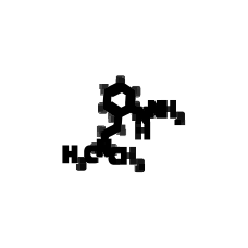 CN(C)CCc1ccccc1NN